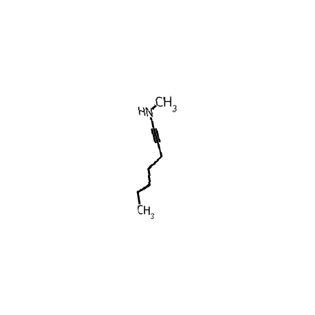 CCCCCC#CNC